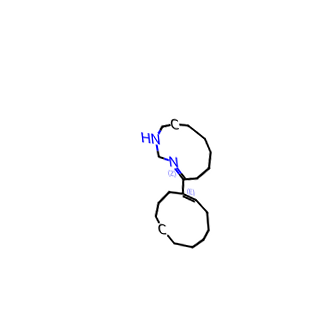 C1=C(/C2=N\CNCCCCCCC2)CCCCCCCCC/1